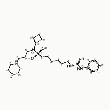 N=C(NCCCCCCS(=O)(=O)N(CCCN1CCOCC1)C1CCC1)Nc1ccncc1